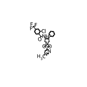 Cn1cnc(S(=O)(=O)N2C[C@H](NC(=O)c3ccc(C(F)(F)F)cc3Cl)[C@@H](c3ccccc3)C2)c1